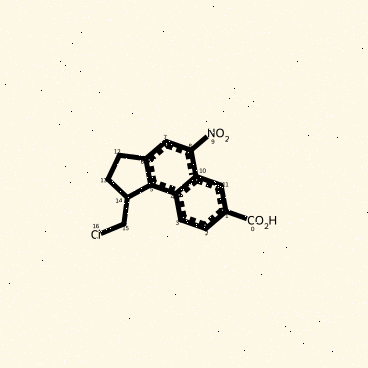 O=C(O)c1ccc2c3c(cc([N+](=O)[O-])c2c1)CCC3CCl